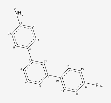 Nc1ccc(-c2cccc(-c3ccc(F)cc3)c2)cc1